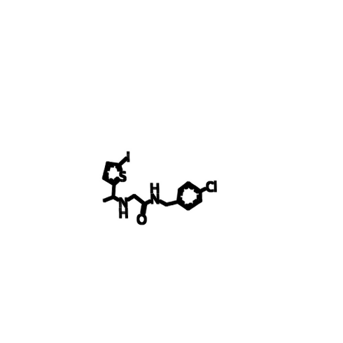 CC(NCC(=O)NCc1ccc(Cl)cc1)c1ccc(I)s1